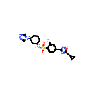 CCc1cc(-c2noc(C3CC3)n2)ccc1S(=O)(=O)N[C@H]1CCC[C@@H](n2cnnc2)C1